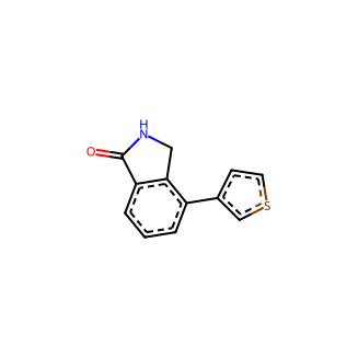 O=C1NCc2c1cccc2-c1ccsc1